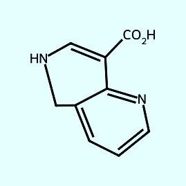 O=C(O)C1=CNCc2cccnc21